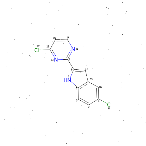 Clc1ccc2[nH]c(-c3nccc(Cl)n3)cc2c1